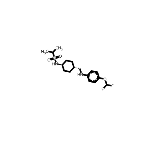 CC(C)S(=O)(=O)N[C@H]1CC[C@H](CNc2ccc(OC(F)F)cc2)CC1